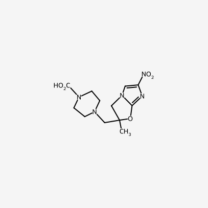 CC1(CN2CCN(C(=O)O)CC2)Cn2cc([N+](=O)[O-])nc2O1